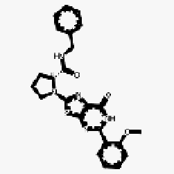 COc1ccccc1-c1nc2sc(N3CCC[C@@H]3C(=O)NCc3ccccc3)nc2c(=O)[nH]1